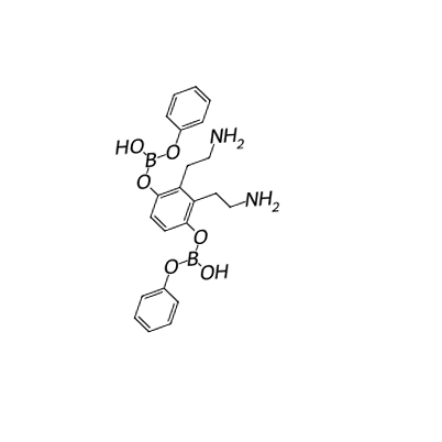 NCCc1c(OB(O)Oc2ccccc2)ccc(OB(O)Oc2ccccc2)c1CCN